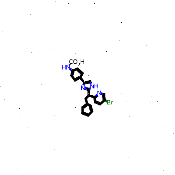 O=C(O)Nc1ccc(-c2c[nH]c(C(Cc3ccccc3)c3ccc(Br)cn3)n2)cc1